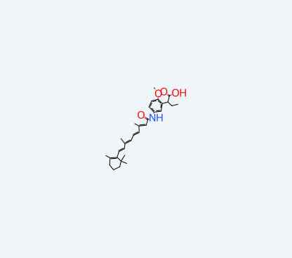 CCC(C(=O)O)c1cc(NC(=O)/C=C(C)/C=C/C=C(C)/C=C/C2=C(C)CCCC2(C)C)ccc1OC